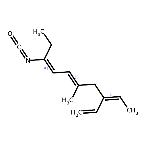 C=C/C(=C\C)C/C(C)=C/C=C(\CC)N=C=O